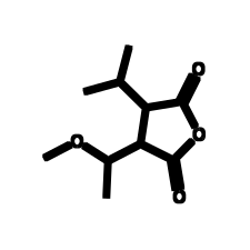 COC(C)C1C(=O)OC(=O)C1C(C)C